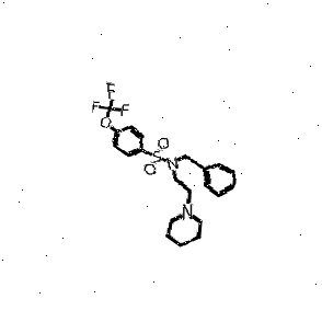 O=S(=O)(c1ccc(OC(F)(F)F)cc1)N(CCN1CCCCC1)Cc1ccccc1